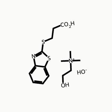 C[N+](C)(C)CCO.O=C(O)CCSc1nc2ccccc2s1.[OH-]